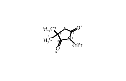 CCCN1C(=O)CC(C)(C)C1=O